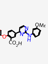 COc1cccc(Nc2nccc(-c3ccc(O[C@H]4CCOC4)c(C(=O)O)c3)n2)c1